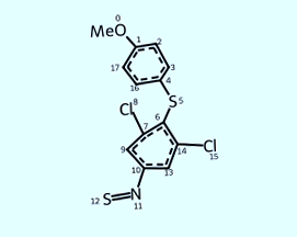 COc1ccc(Sc2c(Cl)cc(N=S)cc2Cl)cc1